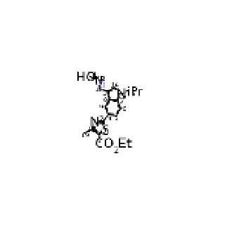 CCOC(=O)c1sc(-c2ccc3c(c2)c(/C=N/O)cn3C(C)C)nc1C